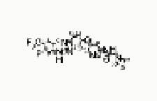 Cn1c(Nc2ccc(C(F)(F)F)c(F)c2)nc2cc(Oc3ccnc(NC(=O)CN4CCC4)c3)ccc21